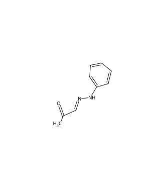 CC(=O)/C=N/Nc1ccccc1